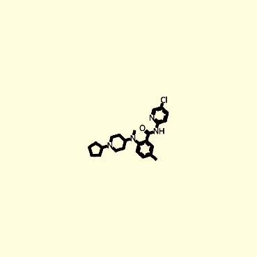 Cc1ccc(N(C)C2CCN(C3CCCC3)CC2)c(C(=O)Nc2ccc(Cl)cn2)c1